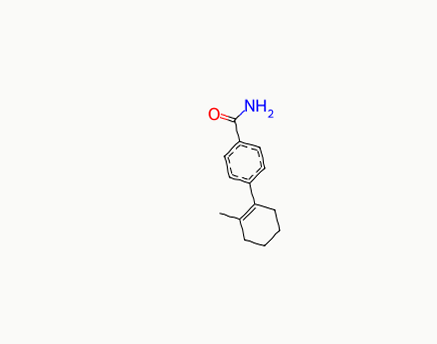 CC1=C(c2ccc(C(N)=O)cc2)CCCC1